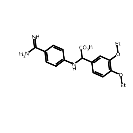 CCOc1ccc(C(Nc2ccc(C(=N)N)cc2)C(=O)O)cc1OCC